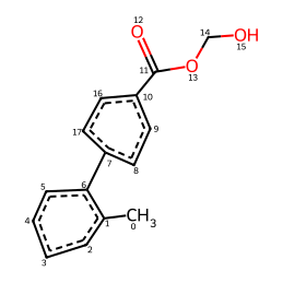 Cc1ccccc1-c1ccc(C(=O)OCO)cc1